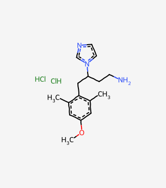 COc1cc(C)c(CC(CCN)n2ccnc2)c(C)c1.Cl.Cl